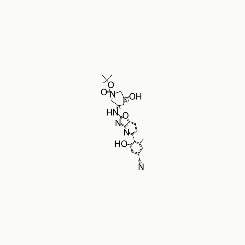 Cc1cc(C#N)cc(O)c1-c1ccc2oc(N[C@@H]3C[C@H](O)CN(C(=O)OC(C)(C)C)C3)nc2n1